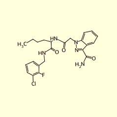 CCCCC(NC(=O)Cn1nc(C(N)=O)c2ccccc21)C(=O)NCc1cccc(Cl)c1F